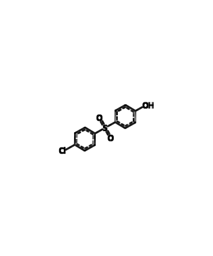 O=S(=O)(c1ccc(O)cc1)c1ccc(Cl)cc1